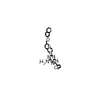 Nc1nc(N2CCN3CC(COc4ccc5c(c4)CCCC5)CCC3C2)nc2nc(-c3ccco3)nn12